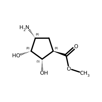 COC(=O)[C@@H]1C[C@@H](N)[C@@H](O)[C@H]1O